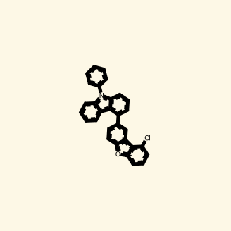 Clc1cccc2oc3ccc(-c4cccc5c4c4ccccc4n5-c4ccccc4)cc3c12